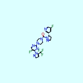 O=C(N1CCN(c2ncc(F)c(-n3nccc3C(F)(F)F)n2)CC1)N1N=CC[C@H]1c1cncc(F)c1